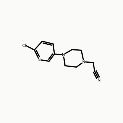 N#CCN1CCN(c2ccc(Cl)nc2)CC1